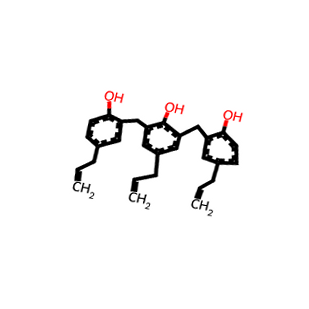 C=CCc1ccc(O)c(Cc2cc(CC=C)cc(Cc3cc(CC=C)ccc3O)c2O)c1